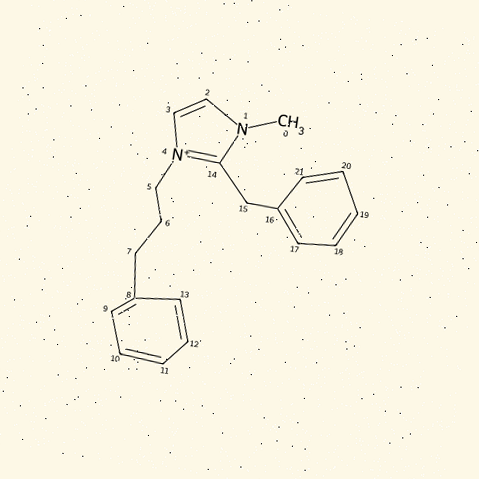 Cn1cc[n+](CCCc2ccccc2)c1Cc1ccccc1